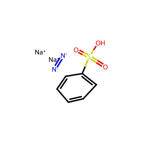 O=S(=O)(O)c1ccccc1.[N-]=[N-].[Na+].[Na+]